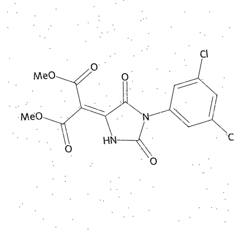 COC(=O)C(C(=O)OC)=C1NC(=O)N(c2cc(Cl)cc(Cl)c2)C1=O